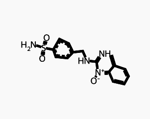 C=C1C=CC=C/C1=[N+](\[O-])C(=N)NCc1ccc(S(N)(=O)=O)cc1